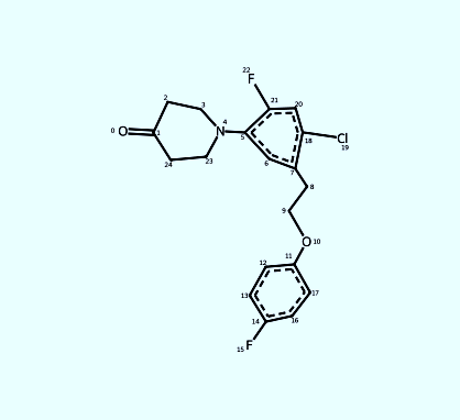 O=C1CCN(c2cc(CCOc3ccc(F)cc3)c(Cl)cc2F)CC1